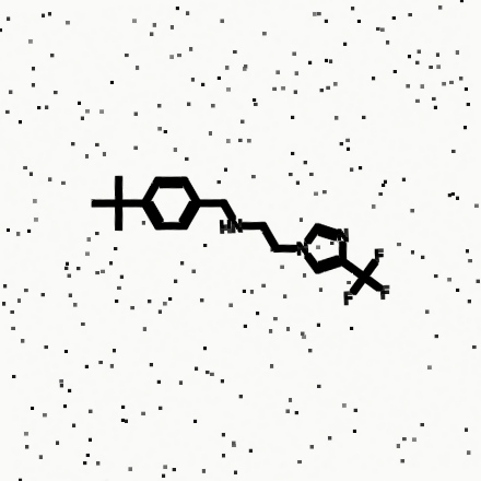 CC(C)(C)c1ccc(CNCCn2cnc(C(F)(F)F)c2)cc1